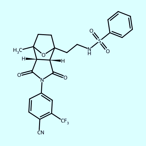 CC12CCC(CCNS(=O)(=O)c3ccccc3)(O1)[C@@H]1C(=O)N(c3ccc(C#N)c(C(F)(F)F)c3)C(=O)[C@@H]12